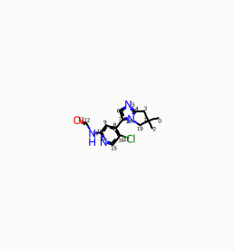 CC1(C)Cc2ncc(-c3cc(NC=O)ncc3Cl)n2C1